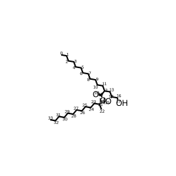 CCCCCCCCCCCCC(CC(O)CO)C(=O)OC(C)CCCCCCCCCCC